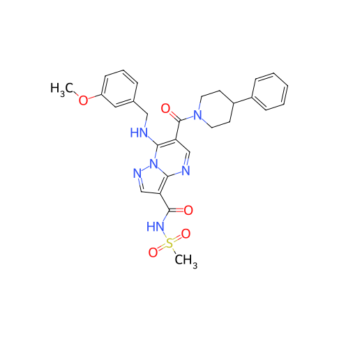 COc1cccc(CNc2c(C(=O)N3CCC(c4ccccc4)CC3)cnc3c(C(=O)NS(C)(=O)=O)cnn23)c1